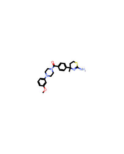 COc1cccc(N2CCN(C(=O)c3ccc(C4(C)CCSC(N)=N4)cc3)CC2)c1